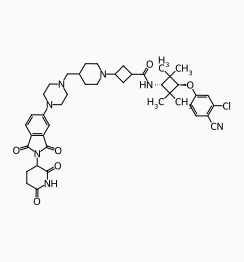 CC1(C)[C@H](NC(=O)C2CC(N3CCC(CN4CCN(c5ccc6c(c5)C(=O)N(C5CCC(=O)NC5=O)C6=O)CC4)CC3)C2)C(C)(C)[C@H]1Oc1ccc(C#N)c(Cl)c1